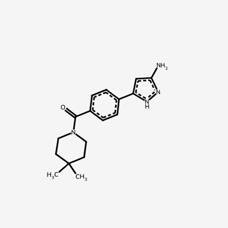 CC1(C)CCN(C(=O)c2ccc(-c3cc(N)n[nH]3)cc2)CC1